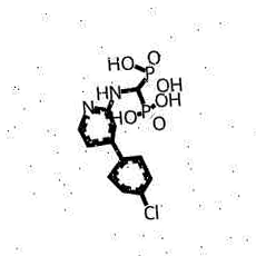 O=P(O)(O)C(Nc1cc(-c2ccc(Cl)cc2)ccn1)P(=O)(O)O